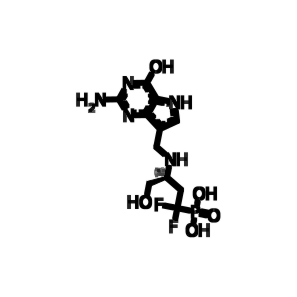 Nc1nc(O)c2[nH]cc(CN[C@H](CO)CC(F)(F)P(=O)(O)O)c2n1